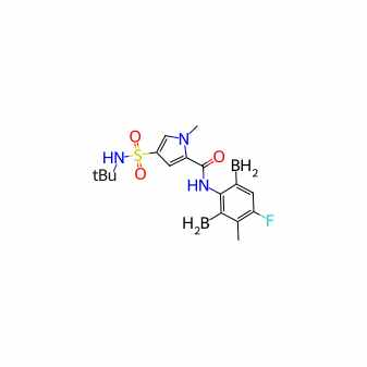 Bc1cc(F)c(C)c(B)c1NC(=O)c1cc(S(=O)(=O)NC(C)(C)C)cn1C